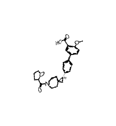 COc1ccc(-c2ccc([C@@H]3CC34CCN(C(=O)C3CCCO3)CC4)cc2)cc1C(=O)O